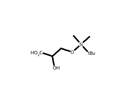 CC(C)(C)[Si](C)(C)OCC(O)C(=O)O